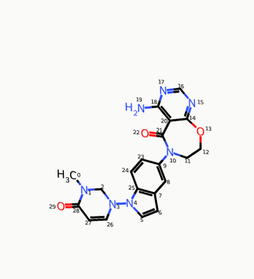 CN1CN(n2ccc3cc(N4CCOc5ncnc(N)c5C4=O)ccc32)C=CC1=O